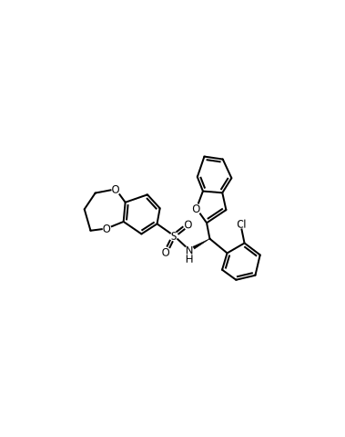 O=S(=O)(N[C@@H](c1cc2ccccc2o1)c1ccccc1Cl)c1ccc2c(c1)OCCCO2